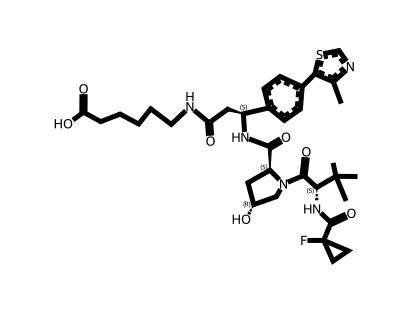 Cc1ncsc1-c1ccc([C@H](CC(=O)NCCCCCC(=O)O)NC(=O)[C@@H]2C[C@@H](O)CN2C(=O)[C@@H](NC(=O)C2(F)CC2)C(C)(C)C)cc1